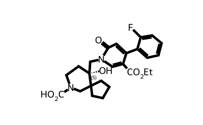 CCOC(=O)c1cn(C[C@]2(O)CCN(C(=O)O)CC23CCCC3)c(=O)cc1-c1ccccc1F